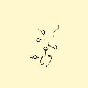 CCCCC(C(=O)OC)C(=O)Oc1ccccc1O